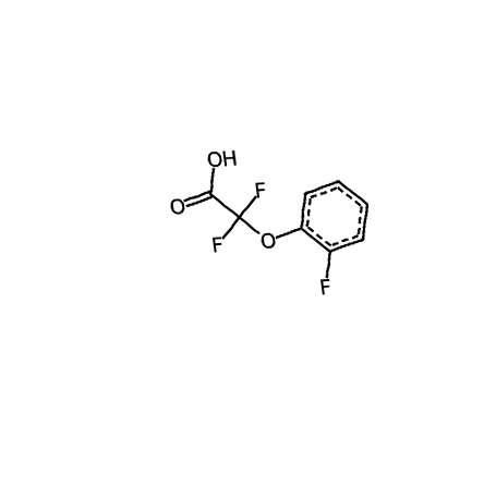 O=C(O)C(F)(F)Oc1ccccc1F